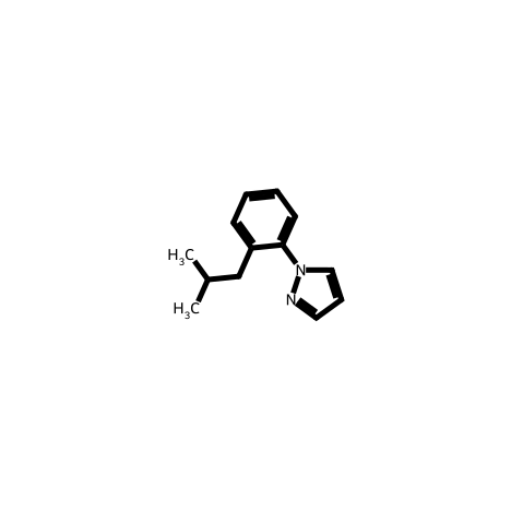 CC(C)Cc1ccccc1-n1cccn1